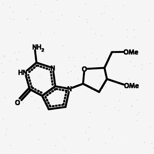 COCC1OC(n2ccc3c(=O)[nH]c(N)nc32)CC1OC